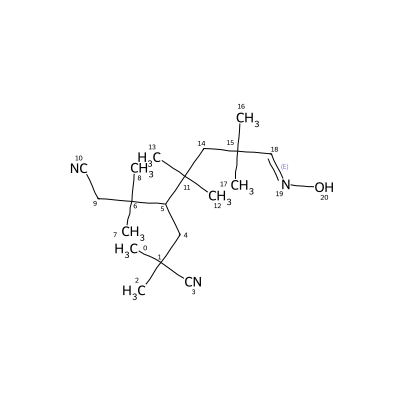 CC(C)(C#N)CC(C(C)(C)CC#N)C(C)(C)CC(C)(C)/C=N/O